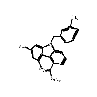 Cc1cccc(Cn2c3cc(C)cc(O)c3c3c(C(N)=O)cccc32)c1